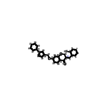 O=C1/C(=C/c2ccccc2F)COc2cc(OCc3cnn(-c4ccccc4)c3)ccc21